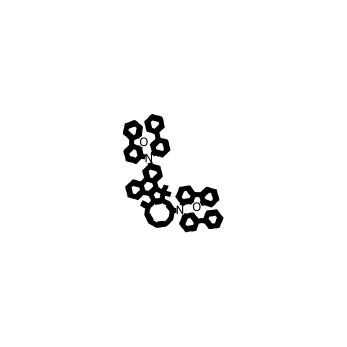 C=C1/C=C\C=C/C/C(N(c2cccc(-c3ccccc3)c2)c2cccc3c2oc2ccccc23)=C\C2=C1c1c(c3ccc(N(c4cccc(-c5ccccc5)c4)c4cccc5c4oc4ccccc45)cc3c3ccccc13)C2(C)C